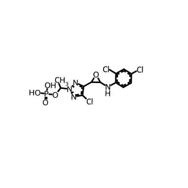 CC(OP(=O)(O)O)n1nc(Cl)c(C2OC2Nc2ccc(Cl)cc2Cl)n1